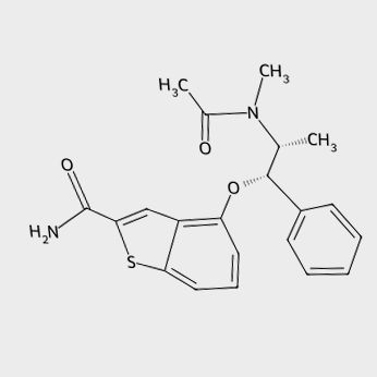 CC(=O)N(C)[C@H](C)[C@@H](Oc1cccc2sc(C(N)=O)cc12)c1ccccc1